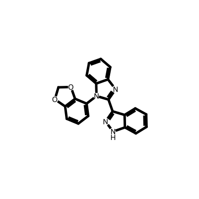 c1cc2c(c(-n3c(-c4n[nH]c5ccccc45)nc4ccccc43)c1)OCO2